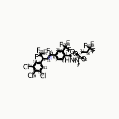 CN(NC(=O)c1ccc(/C(F)=C/C(c2cc(Cl)c(Cl)c(Cl)c2)C(F)(F)F)cc1C(F)(F)F)S(=O)(=O)CCC(F)(F)F